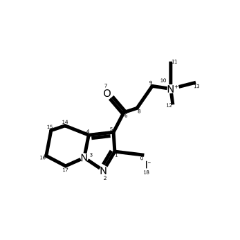 Cc1nn2c(c1C(=O)CC[N+](C)(C)C)CCCC2.[I-]